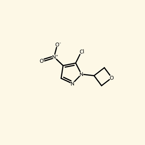 O=[N+]([O-])c1cnn(C2COC2)c1Cl